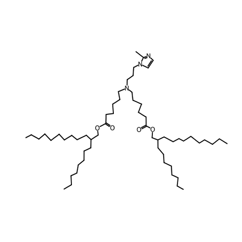 CCCCCCCCCCC(CCCCCCCC)COC(=O)CCCCCN(CCCCCC(=O)OCC(CCCCCCCC)CCCCCCCCCC)CCCn1ccnc1C